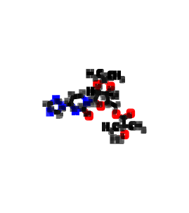 CCOC(C)(C)C(=O)OC[C@H]1O[C@@H](n2ccc(-n3cncn3)nc2=O)[C@@H]2OC(C)(C)O[C@@H]21